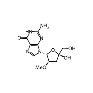 CO[C@@H]1C[C@@](O)(CO)O[C@H]1n1cnc2c(=O)[nH]c(N)nc21